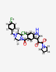 C[C@@H]1CN(Cc2ccc(F)cc2)[C@@H](C)CN1C(=O)c1cc2c(cc1Cl)NCC2C(=O)C(=O)N1CCCC1